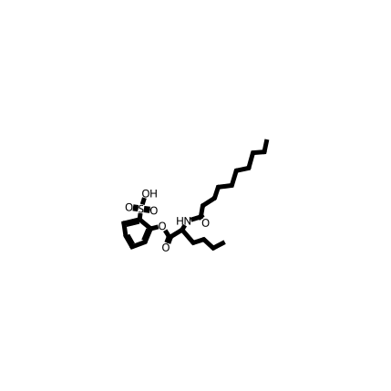 CCCCCCCCCC(=O)NC(CCCC)C(=O)Oc1ccccc1S(=O)(=O)O